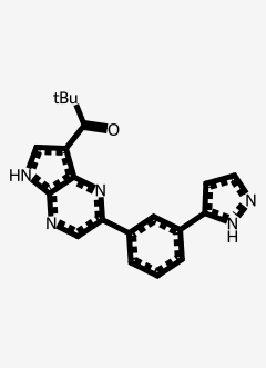 CC(C)(C)C(=O)c1c[nH]c2ncc(-c3cccc(-c4ccn[nH]4)c3)nc12